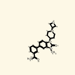 Cn1c(=O)n(C2CCN(C3COC3)CC2)c2ccc(-c3cccc(C(N)=O)c3)cc21